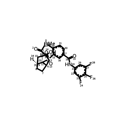 COC(=O)[C@]1(O)CC2CC[C@@H](C1)[C@H]2S(=O)(=O)c1cc(C(=O)Nc2cc(F)c(F)c(F)c2)ccc1Cl